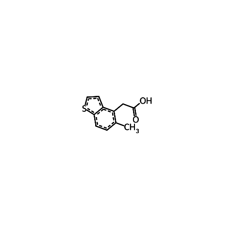 Cc1ccc2sccc2c1CC(=O)O